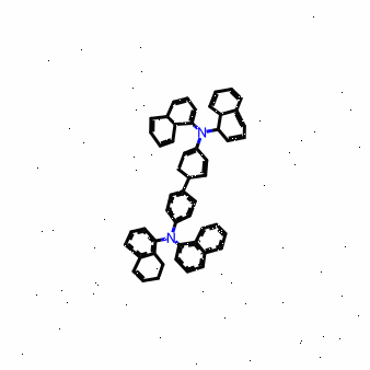 C1=CC2=CC=CC(N(C3=CCC(c4ccc(N(c5cccc6c5CCC=C6)c5cccc6ccccc56)cc4)C=C3)C3=CC=CC4C=CC=CC34)C2C=C1